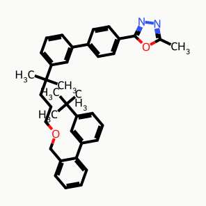 Cc1nnc(-c2ccc(-c3cccc(C(C)(C)CCCOCc4ccccc4-c4cccc(C(C)(C)C)c4)c3)cc2)o1